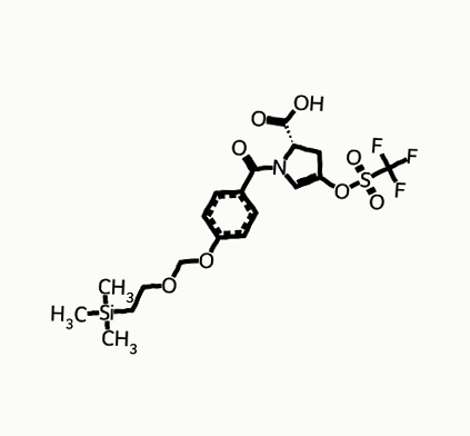 C[Si](C)(C)CCOCOc1ccc(C(=O)N2C=C(OS(=O)(=O)C(F)(F)F)C[C@H]2C(=O)O)cc1